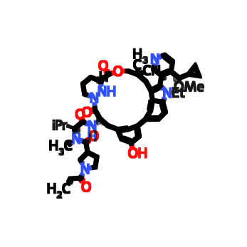 C=CC(=O)N1CCC(C(=O)N(C)[C@H](C(=O)N[C@H]2Cc3cc(O)cc(c3)-c3ccc4c(c3)c(c(-c3cnccc3[C@@H](OC)C3CC3)n4CC)CC(C)(C)COC(=O)[C@@H]3CCCN(N3)C2=O)C(C)C)C1